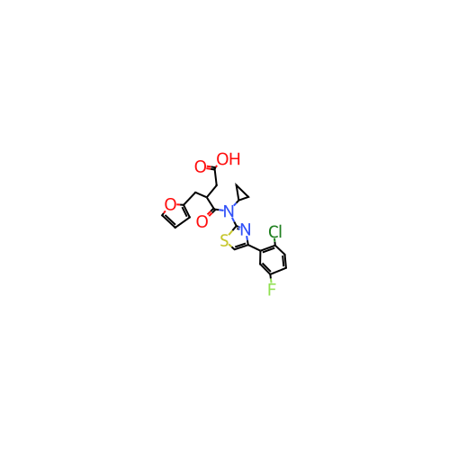 O=C(O)CC(Cc1ccco1)C(=O)N(c1nc(-c2cc(F)ccc2Cl)cs1)C1CC1